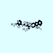 C=N/C(=C(C)\N=C(/C)Sc1ccnc(N)c1Cl)N1CCC2(CC1)Cc1ccccc1[C@H]2N